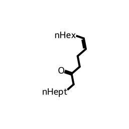 CCCCCC/C=C\CCC(=O)CCCCCCCC